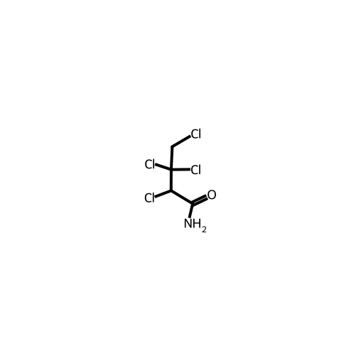 NC(=O)C(Cl)C(Cl)(Cl)CCl